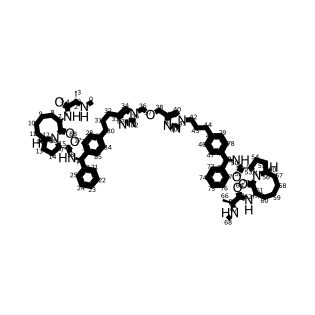 CN[C@@H](C)C(=O)N[C@H]1CCCC[C@H]2CC[C@@H](C(=O)N[C@H](c3ccccc3)c3ccc(CCCc4cn(COCc5cn(CCCc6ccc([C@@H](NC(=O)[C@@H]7CC[C@@H]8CCCC[C@H](NC(=O)[C@H](C)NC)C(=O)N87)c7ccccc7)cc6)nn5)nn4)cc3)N2C1=O